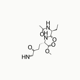 CC[C@H](NC(C)=O)C(=O)N[C@@H](CCC(=O)C=N)C(=O)OC